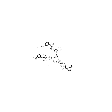 COC(=O)c1cccc(-c2ncnc3c2ncn3[C@@H]2O[C@H](COP(=O)(OC[C@H]3O[C@@H](n4cnc5c(-c6cccc(C(=O)OC)c6)ncnc54)[C@H](O)[C@@H]3O)OC[C@H]3O[C@@H](n4cnc5c(-c6cccc(C(=O)OC)c6)ncnc54)[C@H](O)[C@@H]3O)[C@@H](O)[C@H]2O)c1